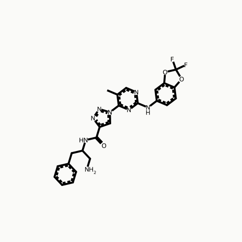 Cc1cnc(Nc2ccc3c(c2)OC(F)(F)O3)nc1-n1cc(C(=O)NC(CN)Cc2ccccc2)nn1